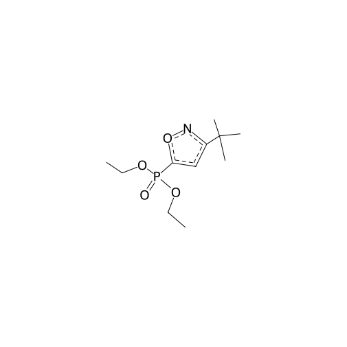 CCOP(=O)(OCC)c1cc(C(C)(C)C)no1